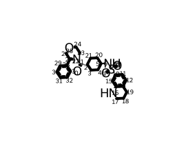 O=C([C@H]1CC[C@H](NS(=O)(=O)c2ccc3c(c2)NCCC3)CC1)N1CCOCC1c1ccccc1